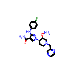 NO[C@@H]1CN(Cc2cnccn2)CC[C@H]1n1cc(C(N)=O)c(Nc2ccc(F)cc2)n1